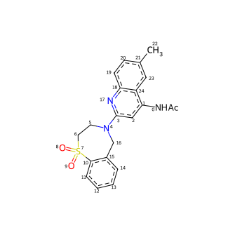 CC(=O)Nc1cc(N2CCS(=O)(=O)c3ccccc3C2)nc2ccc(C)cc12